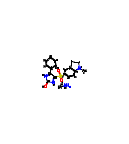 CC(=O)N1CCc2cc(S(=O)(=O)C3=NC(=O)N=C3c3ccccc3)ccc21.CC(C)N